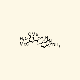 COc1cc(C(=O)Oc2ccc3nc(N)nc(N)c3c2)cc(OC)c1C